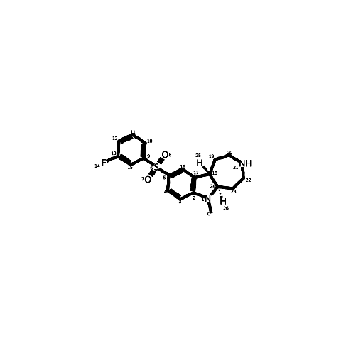 CN1c2ccc(S(=O)(=O)c3cccc(F)c3)cc2[C@@H]2CCNCC[C@H]21